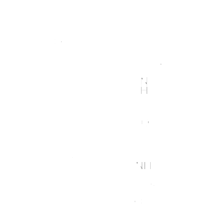 COc1ccc2c(c1)C(=CC(=O)c1ccccc1NC(C)=O)NC(C)(C)C2